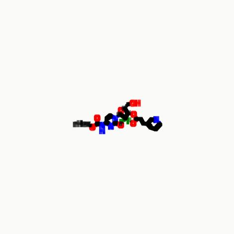 CCCCCCOC(=O)Nc1ccn([C@@H]2O[C@H](CO)[C@@H](OC(=O)CCc3cccnc3)C2(F)F)c(=O)n1